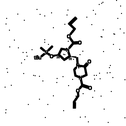 C=CCOC(=O)N1CCN(C[C@@H]2C[C@@H](O[Si](C)(C)C(C)(C)C)CN2C(=O)OCC=C)C(=O)C1